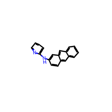 c1ccc(Nc2ccc3cc4ccccc4cc3c2)nc1